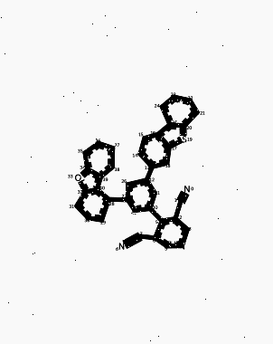 N#Cc1cccc(C#N)c1-c1cc(-c2ccc3c(c2)sc2ccccc23)cc(-c2cccc3oc4ccccc4c23)c1